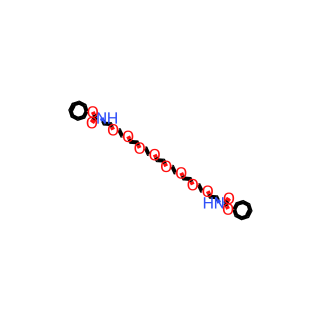 O=C(NCCOCCOCCOCCOCCOCCOCCOCCOCCNC(=O)OC1CCC=CCCC1)OC1CCC=CCCC1